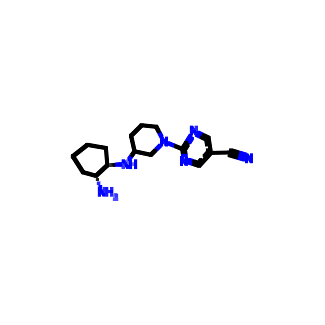 N#Cc1cnc(N2CCCC(N[C@@H]3CCCC[C@H]3N)C2)nc1